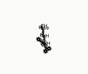 CC(=O)NCSCCC(=O)NCCCC[C@H](NC(=O)OCC1c2ccccc2-c2ccccc21)C(=O)OCc1ccccc1